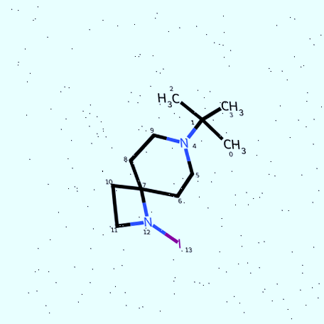 CC(C)(C)N1CCC2(CC1)CCN2I